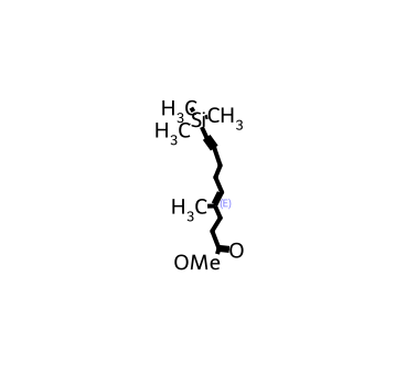 COC(=O)CC/C(C)=C/CCC#C[Si](C)(C)C